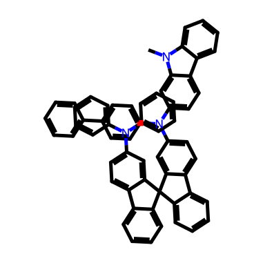 Cn1c2ccccc2c2ccc(N(c3ccc(-c4ccccc4)cc3)c3ccc4c(c3)C3(c5ccccc5-c5ccc(N(c6ccccc6)c6ccccc6)cc53)c3ccccc3-4)cc21